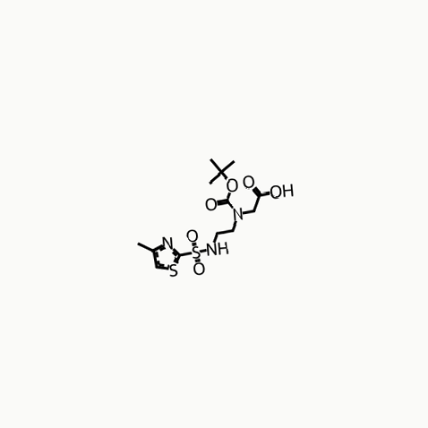 Cc1csc(S(=O)(=O)NCCN(CC(=O)O)C(=O)OC(C)(C)C)n1